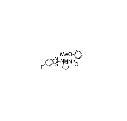 COc1ccc(C)cc1C(=O)N[C@H]1CCC[C@H]1Nc1nc2ccc(F)cc2s1